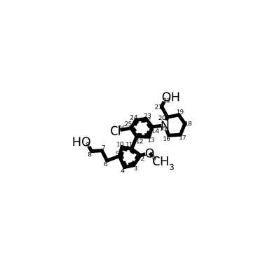 COc1ccc(CCCO)cc1-c1cc(N2CCCCC2CO)[c]cc1Cl